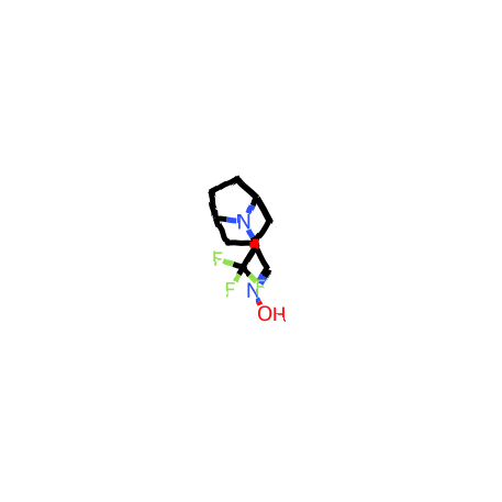 ON=CC1CC2CCC(C1)N2CC(F)(F)F